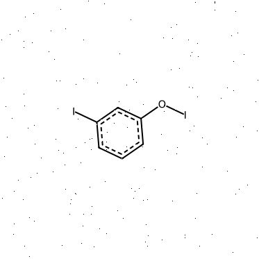 IOc1cccc(I)c1